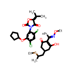 CC(C)=C1OC(=O)N(c2cc(OC3CCCC3)c(Cl)cc2F)C1=O.CCC/C(=N\OCC)C1=C(O)CC(CC(C)SCC)CC1=O